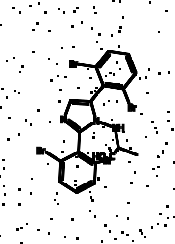 CC(Nn1c(-c2c(Br)cccc2Br)cnc1-c1c(Br)cccc1Br)C(=O)O